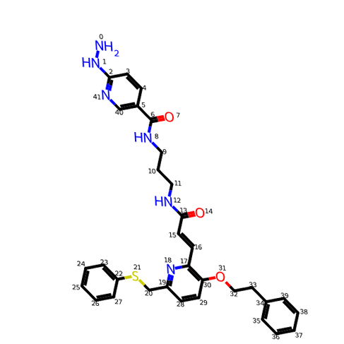 NNc1ccc(C(=O)NCCCNC(=O)/C=C/c2nc(CSc3ccccc3)ccc2OCCc2ccccc2)cn1